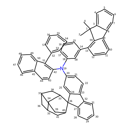 CC1(C)c2ccccc2-c2cccc(-c3cccc(N(c4ccc5c(c4)C4(c6ccccc6-5)C5CC6CC(C5)CC4C6)c4ccc5ccccc5c4-c4ccccc4)c3)c21